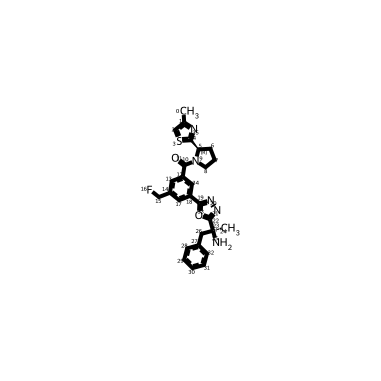 Cc1csc([C@H]2CCCN2C(=O)c2cc(CF)cc(-c3nnc([C@@](C)(N)Cc4ccccc4)o3)c2)n1